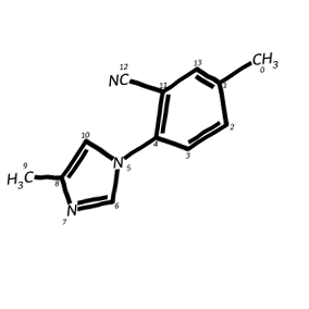 Cc1ccc(-n2cnc(C)c2)c(C#N)c1